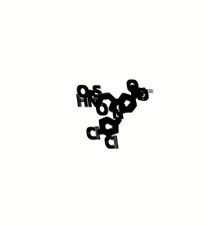 O=C1NC(=O)C(=Cc2cn(Cc3ccc(Cl)c(Cl)c3)c3ccc([N+](=O)[O-])cc23)S1